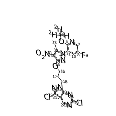 [2H]C([2H])([2H])Oc1ncc(F)cc1-n1nc(OCCCn2nc(Cl)c3cnc(Cl)nc32)c([N+](=O)[O-])c1C